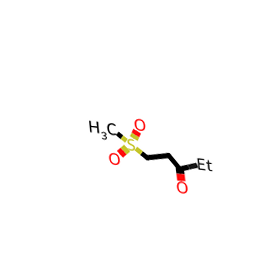 CCC(=O)CCS(C)(=O)=O